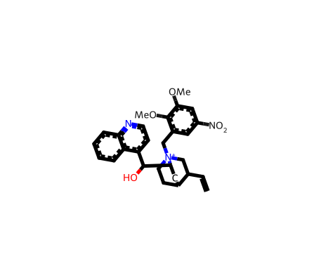 C=CC1C[N+]2(Cc3cc([N+](=O)[O-])cc(OC)c3OC)CCC1CC2C(O)c1ccnc2ccccc12